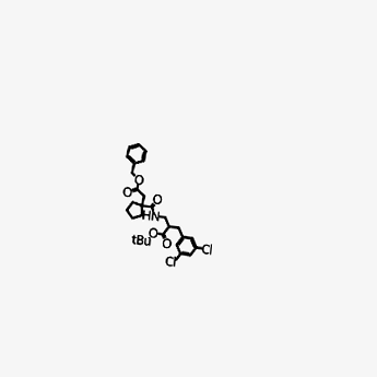 CC(C)(C)OC(=O)C(CNC(=O)C1(CC(=O)OCc2ccccc2)CCCC1)Cc1cc(Cl)cc(Cl)c1